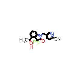 C[C@H](O)c1cccc2c1C(F)(F)C(=O)N2Cc1ccc(C#N)nc1